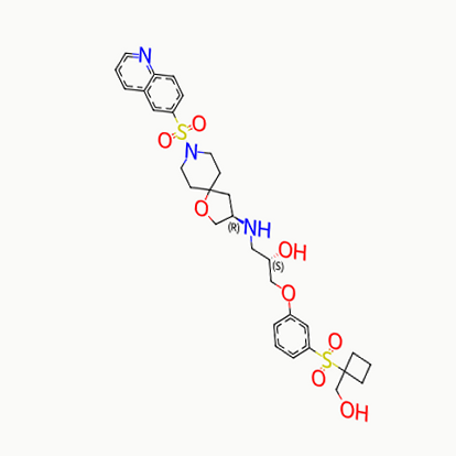 O=S(=O)(c1ccc2ncccc2c1)N1CCC2(CC1)C[C@@H](NC[C@H](O)COc1cccc(S(=O)(=O)C3(CO)CCC3)c1)CO2